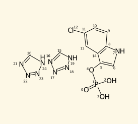 O=P(O)(O)Oc1c[nH]c2ccc(Cl)cc12.c1nnn[nH]1.c1nnn[nH]1